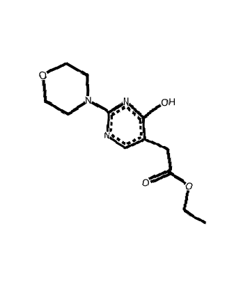 CCOC(=O)Cc1cnc(N2CCOCC2)nc1O